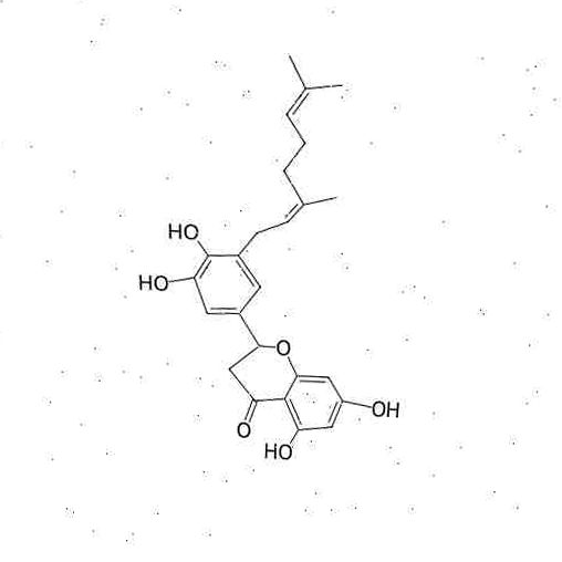 CC(C)=CCCC(C)=CCc1cc(C2CC(=O)c3c(O)cc(O)cc3O2)cc(O)c1O